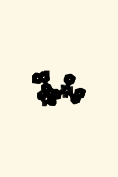 c1ccc(-c2nc(-c3ccc4c(c3)-c3cc(-c5cncc6ccccc56)ccc3C43c4ccccc4Sc4ccccc43)nc(-c3cccc4ccccc34)n2)cc1